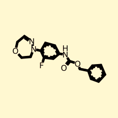 O=C(Nc1ccc(N2CCOCC=N2)c(F)c1)OCc1ccccc1